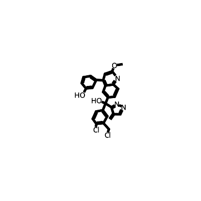 C=C1C=NN=C1C(O)(c1ccc(Cl)c(CCl)c1)c1ccc2nc(OC)cc(-c3cccc(O)c3)c2c1